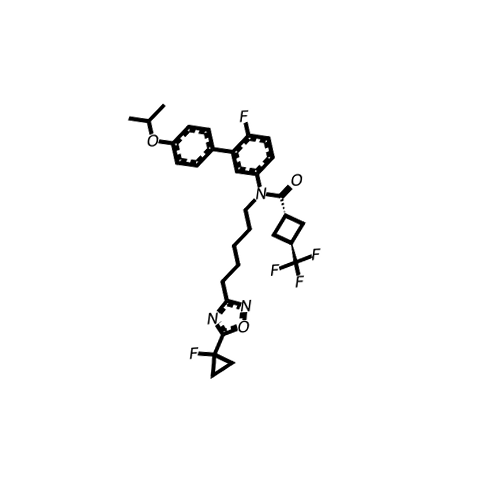 CC(C)Oc1ccc(-c2cc(N(CCCCCc3noc(C4(F)CC4)n3)C(=O)[C@H]3C[C@H](C(F)(F)F)C3)ccc2F)cc1